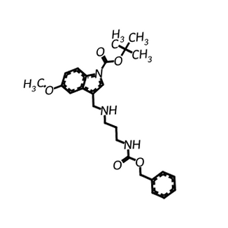 COc1ccc2c(c1)c(CNCCCNC(=O)OCc1ccccc1)cn2C(=O)OC(C)(C)C